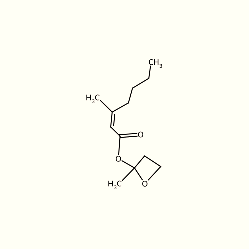 CCCCC(C)=CC(=O)OC1(C)CCO1